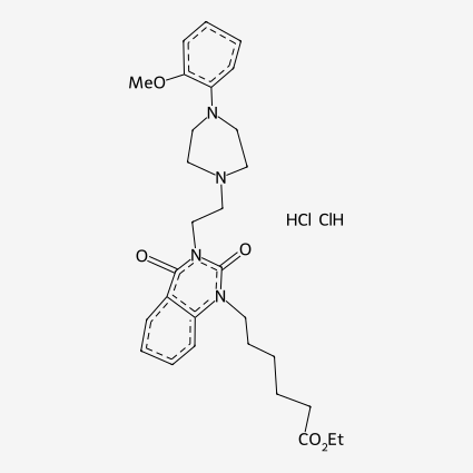 CCOC(=O)CCCCCn1c(=O)n(CCN2CCN(c3ccccc3OC)CC2)c(=O)c2ccccc21.Cl.Cl